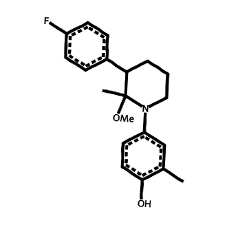 COC1(C)C(c2ccc(F)cc2)CCCN1c1ccc(O)c(C)c1